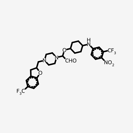 O=CC(OC1CCC(Nc2ccc([N+](=O)[O-])c(C(F)(F)F)c2)CC1)N1CCN(CC2Cc3cc(C(F)(F)F)ccc3O2)CC1